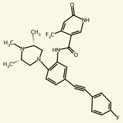 C[C@@H]1CN(c2ccc(C#Cc3ccc(F)cc3)cc2NC(=O)c2c[nH]c(=O)cc2C(F)(F)F)C[C@H](C)N1C